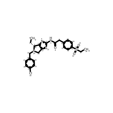 CC[C@@H]1c2nc(NC(=O)Cc3ccc(S(=O)(=O)CC)cc3)sc2CN1Cc1ccc(Cl)cc1